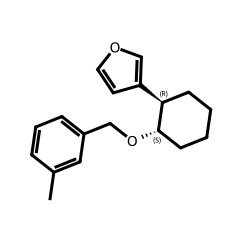 Cc1cccc(CO[C@H]2CCCC[C@@H]2c2ccoc2)c1